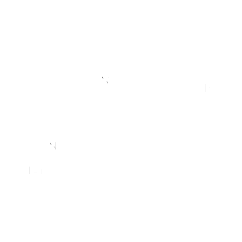 CC(C)(C)CCCN1CCC2(C1)CN(C(C)(C)C)C2